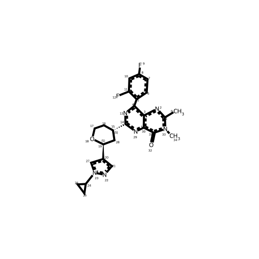 Cc1nc2c(-c3ccc(F)cc3F)nc([C@H]3CCO[C@H](c4cnn(C5CC5)c4)C3)nc2c(=O)n1C